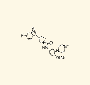 COc1ccc(NC(=O)N2CCC(c3c[nH]c4cc(F)ccc34)CC2)cc1N1CCN(C)CC1